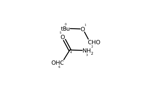 CC(C)(C)OC=O.NC(=O)C=O